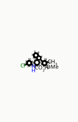 COc1ccc(C2Cc3ccccc3C23CCC(Nc2cccc(Cl)c2)(C(=O)O)CC3)cc1C